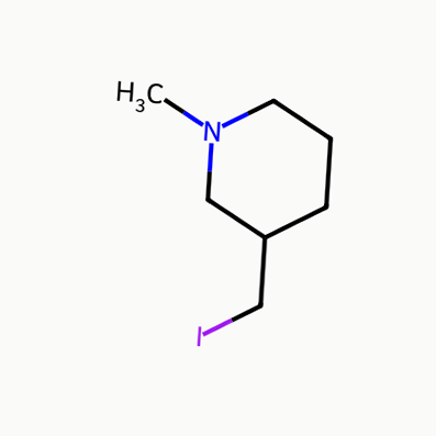 CN1CCCC(CI)C1